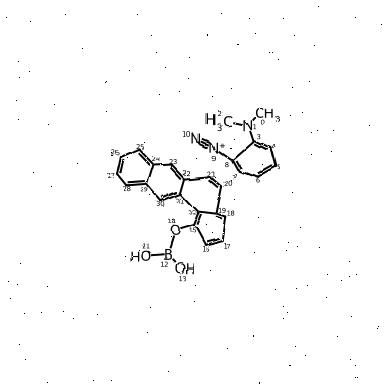 CN(C)c1ccccc1[N+]#N.OB(O)Oc1cccc2ccc3cc4ccccc4cc3c12